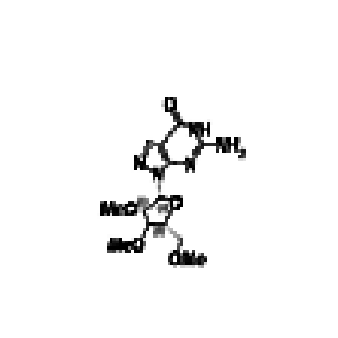 COC[C@H]1O[C@@H](n2ncc3c(=O)[nH]c(N)nc32)[C@@H](OC)C1OC